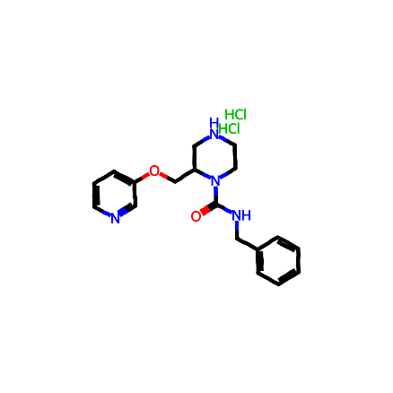 Cl.Cl.O=C(NCc1ccccc1)N1CCNCC1COc1cccnc1